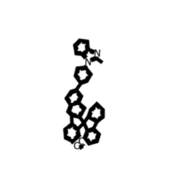 Cc1nc2ccccc2n1-c1ccc(-c2ccc3cc4c(cc3c2)C2(c3ccccc3-c3ccccc32)c2c-4ccc3ccccc23)cc1